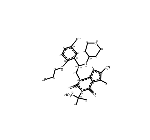 Cc1c(C#N)sc2c1c(=O)n(C(C)(C)C(=O)O)c(=O)n2C[C@H](OC1CCOCC1)c1cc(F)ccc1OCCF